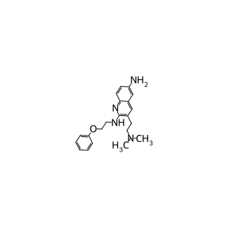 CN(C)CCc1cc2cc(N)ccc2nc1NCCOc1ccccc1